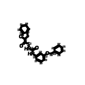 O=C(NSC(=O)C1Cc2ccccc2O1)Nc1cccc(OCc2ccccc2)c1